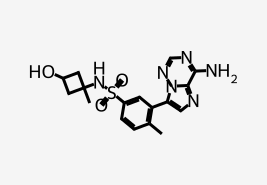 Cc1ccc(S(=O)(=O)NC2(C)CC(O)C2)cc1-c1cnc2c(N)ncnn12